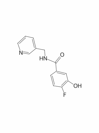 O=C(NCc1cccnc1)c1ccc(F)c(O)c1